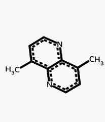 Cc1ccnc2c(C)ccnc12